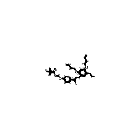 C=CCc1cc(C=CC(=O)c2ccc(OCOC(=O)C(C)(C)C)cc2)c(OCCCC)cc1OCCCC